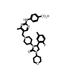 Cc1ccc(F)c(C2CN(C3CCOCC3)C(=O)N2C2CCN(Cc3cnc(Nc4ccc(C(=O)O)cc4)nc3C)CC2)c1